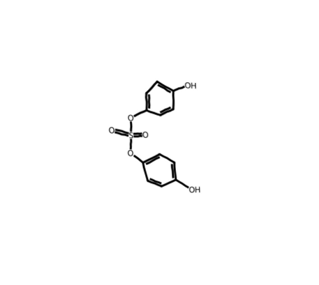 O=S(=O)(Oc1ccc(O)cc1)Oc1ccc(O)cc1